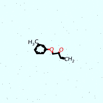 C=CC(=O)COc1cccc(C)c1